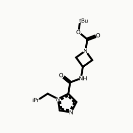 CC(C)Cn1cncc1C(=O)NC1CN(C(=O)OC(C)(C)C)C1